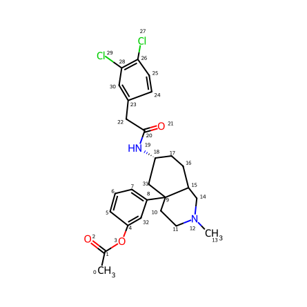 CC(=O)Oc1cccc(C23CCN(C)CC2CC[C@@H](NC(=O)Cc2ccc(Cl)c(Cl)c2)C3)c1